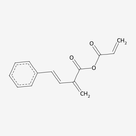 C=CC(=O)OC(=O)C(=C)C=Cc1ccccc1